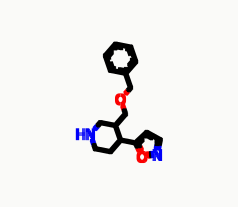 c1ccc(COCC2CNCCC2c2ccno2)cc1